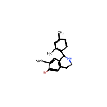 COc1cc2c(cc1Br)CCNC2c1ccc(C)cc1C